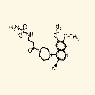 COc1cc2ncc(C#N)c(N3CCCN(C(=O)CCNS(N)(=O)=O)CC3)c2cc1OC